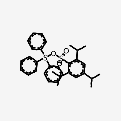 CC(C)c1cc(C(C)C)c(S(=O)(=O)OS(c2ccccc2)(c2ccccc2)c2ccccc2)c(C(C)C)c1